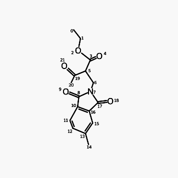 CCOC(=O)C(CN1C(=O)c2ccc(C)cc2C1=O)C(C)=O